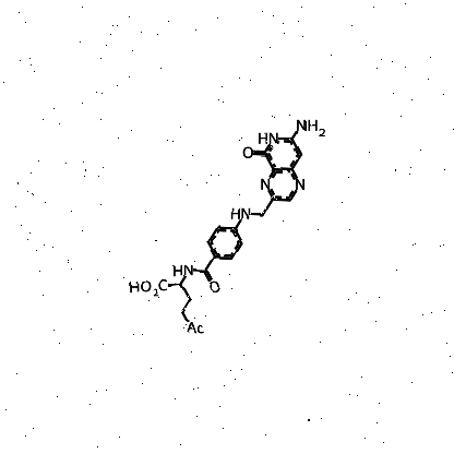 CC(=O)CC[C@H](NC(=O)c1ccc(NCc2cnc3cc(N)[nH]c(=O)c3n2)cc1)C(=O)O